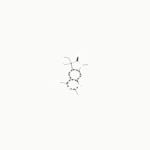 Cc1nc(Cl)c2cc3c(cc2n1)N(C)C(=O)C3(CF)CF